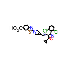 O=C(O)c1ccc2nc(N3CC4C(/C=C/c5c(-c6c(Cl)cccc6Cl)noc5C5CC5)C4C3)sc2c1